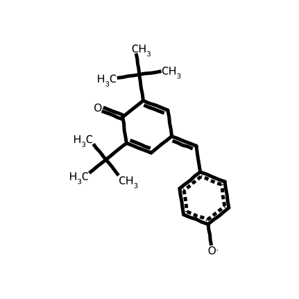 CC(C)(C)C1=CC(=Cc2ccc([O])cc2)C=C(C(C)(C)C)C1=O